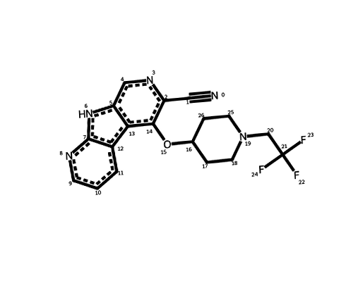 N#Cc1ncc2[nH]c3ncccc3c2c1OC1CCN(CC(F)(F)F)CC1